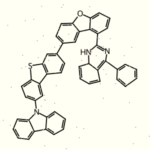 C1=CC2=C(c3ccccc3)N=C(c3cccc4oc5ccc(-c6ccc7c(c6)sc6ccc(-n8c9ccccc9c9ccccc98)cc67)cc5c34)NC2C=C1